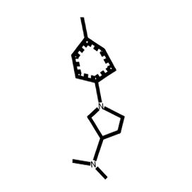 Cc1ccc(N2CCC(N(C)C)C2)cc1